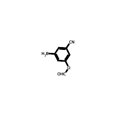 Bc1cc(C#N)cc(OC=O)c1